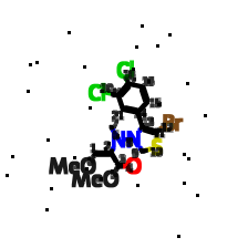 CO/C=C(\C(=O)OC)N(C)N1CSC(Br)=C1c1ccc(Cl)c(Cl)c1